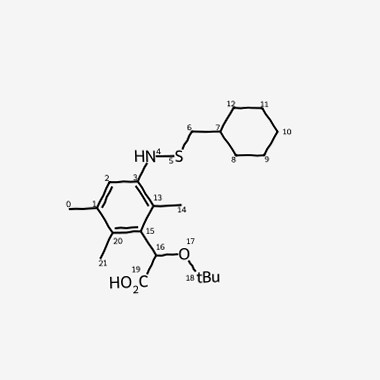 Cc1cc(NSCC2CCCCC2)c(C)c(C(OC(C)(C)C)C(=O)O)c1C